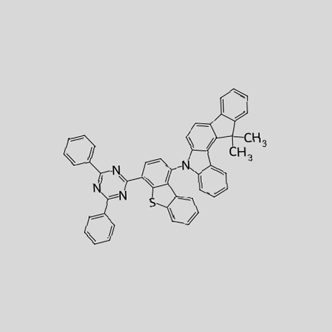 CC1(C)c2ccccc2-c2ccc3c(c21)c1ccccc1n3-c1ccc(-c2nc(-c3ccccc3)nc(-c3ccccc3)n2)c2sc3ccccc3c12